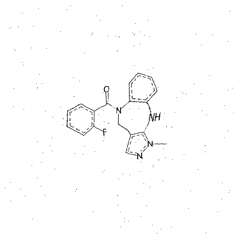 Cn1ncc2c1Nc1ccccc1N(C(=O)c1ccccc1F)C2